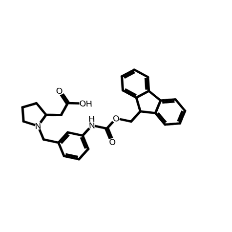 O=C(O)CC1CCCN1Cc1cccc(NC(=O)OCC2c3ccccc3-c3ccccc32)c1